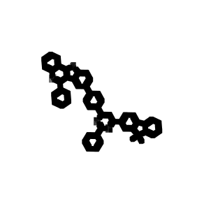 CC1(C)c2ccccc2-c2ccc(-c3cc(-c4ccc(-c5ccc6sc7c8ccccc8nc(-c8ccccc8)c7c6c5)cc4)nc(-c4ccccc4)n3)cc21